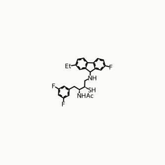 CCc1ccc2c(c1)C(NC[C@@H](S)[C@H](Cc1cc(F)cc(F)c1)NC(C)=O)c1cc(F)ccc1-2